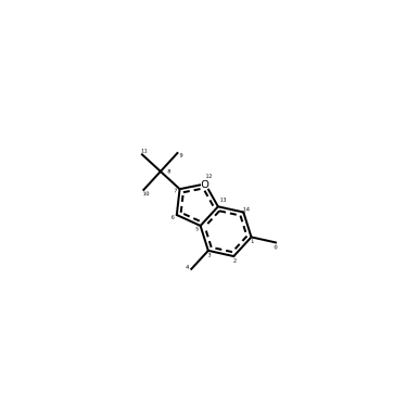 Cc1cc(C)c2cc(C(C)(C)C)oc2c1